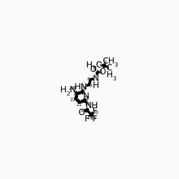 CC(C)(C)OC(=O)NCCNc1nc(NC(=O)C(F)(F)F)ccc1N